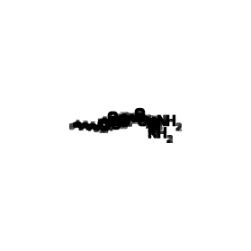 CCCCCCCC1CCC(C(=O)Oc2ccc(/C=C/C(=O)OCc3cc(N)cc(N)c3)cc2)CC1